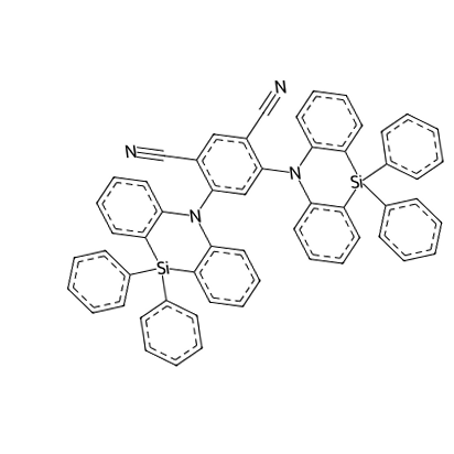 N#Cc1cc(C#N)c(N2c3ccccc3[Si](c3ccccc3)(c3ccccc3)c3ccccc32)cc1N1c2ccccc2[Si](c2ccccc2)(c2ccccc2)c2ccccc21